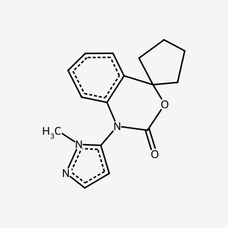 Cn1nccc1N1C(=O)OC2(CCCC2)c2ccccc21